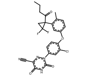 CCCC(=O)C1(c2cc(Oc3ccc(-n4nc(C#N)c(=O)[nH]c4=O)cc3Cl)ccc2C)CC1(F)F